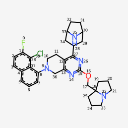 Fc1ccc2cccc(N3CCc4c(nc(OCC56CCCN5CCC6)nc4C4CC5CCC(C4)N5)C3)c2c1Cl